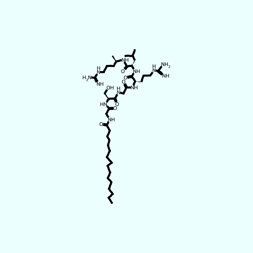 CCCCCCCCCCCCCCCC(=O)NCC(=O)N[C@@H](CO)C(=O)NCC(=O)N[C@@H](CCCNC(=N)N)C(=O)N[C@@H](CC(C)C)C(=O)N[C@H](C)CCCNC(=N)N